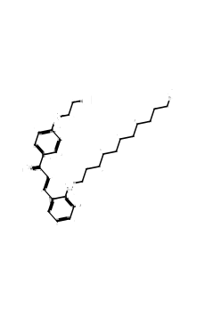 CCCCCCCCCCCCOc1ccccc1/C=C/C(=O)c1ccc(SCCC)cc1